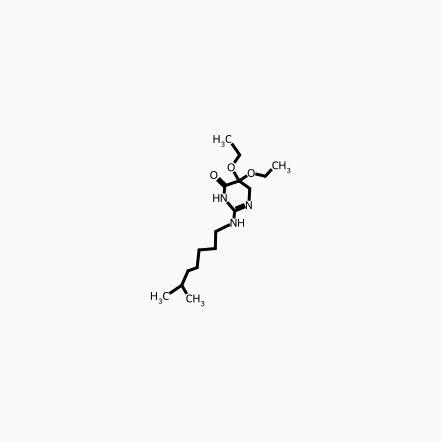 CCOC1(OCC)CN=C(NCCCCCC(C)C)NC1=O